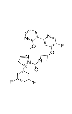 COc1ncccc1-c1cc(OC2CN(C(=O)N3N=CC[C@H]3c3cc(F)cc(F)c3)C2)c(F)cn1